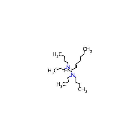 CCCCC=C[SiH](N(CCC)CCCC)N(CCC)CCCC